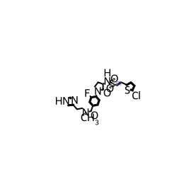 CN(CCc1c[nH]cn1)C(=O)c1ccc(N2CCC(NS(=O)(=O)/C=C/c3ccc(Cl)s3)C2=O)c(F)c1